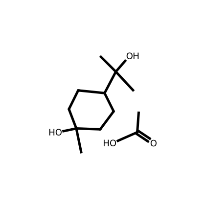 CC(=O)O.CC1(O)CCC(C(C)(C)O)CC1